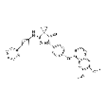 COc1cc2nccc(Oc3ccc(NC(=O)C4(C(=O)NC56CC(c7cnccn7)(C5)C6)CC4)cc3)c2cc1OC